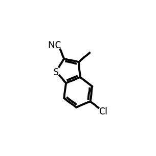 Cc1c(C#N)sc2ccc(Cl)cc12